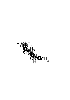 Cc1cc(CN(C)C(N)=O)cc(C)c1C=CS(=O)(=O)N1CCC2(CC1)N=C(C1CCC(C)CC1)NC2=O